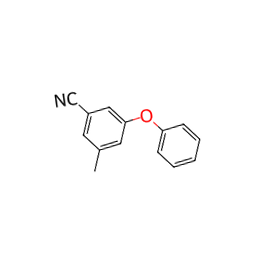 Cc1cc(C#N)cc(Oc2ccccc2)c1